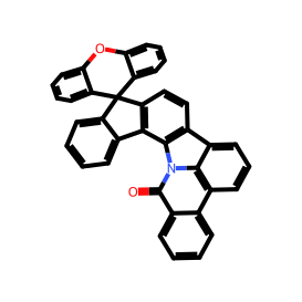 O=c1c2ccccc2c2cccc3c4ccc5c(c4n1c23)-c1ccccc1C51c2ccccc2Oc2ccccc21